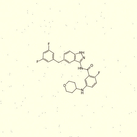 O=C(Nc1n[nH]c2ccc(Cc3cc(F)cc(F)c3)cc12)c1cc(NC2CCOCC2)ccc1F